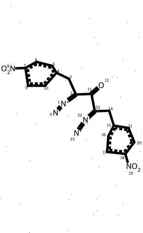 [N-]=[N+]=C(Cc1ccc([N+](=O)[O-])cc1)C(=O)C(Cc1ccc([N+](=O)[O-])cc1)=[N+]=[N-]